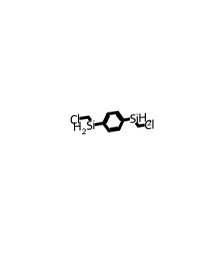 ClC[SiH2]c1ccc([SiH2]CCl)cc1